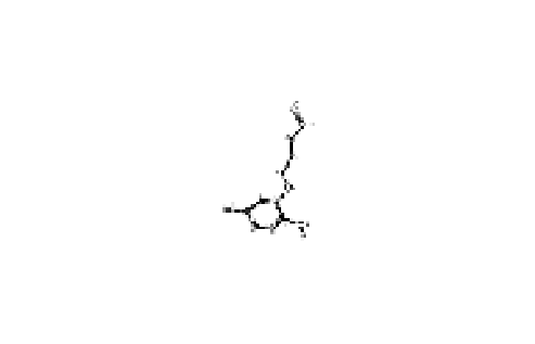 COc1ccc(Br)cc1OCCCC=O